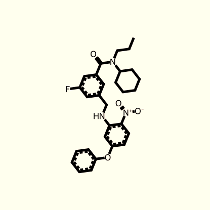 CCCN(C(=O)c1cc(F)cc(CNc2cc(Oc3ccccc3)ccc2[N+](=O)[O-])c1)C1CCCCC1